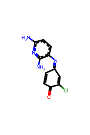 Nc1ccc(N=C2C=CC(=O)C(Cl)=C2)c(N)n1